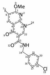 COc1nc2c(cc1I)c(=O)c(C(=O)NCc1ccc(Cl)cc1)cn2C